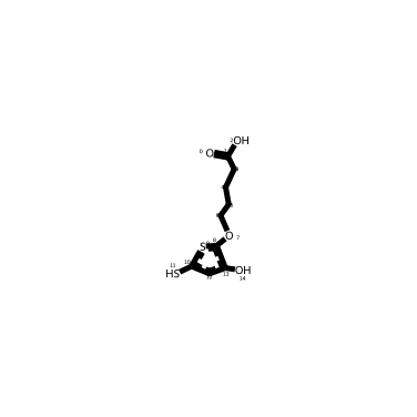 O=C(O)CCCCOc1sc(S)cc1O